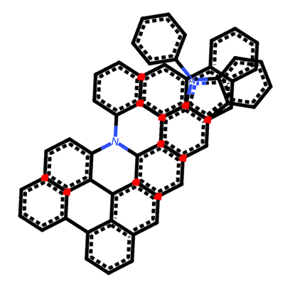 c1ccc(-c2cccc3cccc(-c4ccccc4N(c4ccccc4-c4cccc5c4ccc4ccccc45)c4ccccc4-c4cccc5c6ccccc6n(-c6ccccc6)c45)c23)cc1